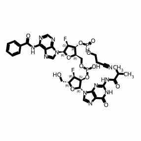 CC(C)C(=O)Nc1nc2c(ncn2[C@@H]2O[C@H](CO)[C@@H](F)[C@H]2OP(O)OC[C@H]2O[C@@H](n3cnc4c(NC(=O)c5ccccc5)ncnc43)[C@@H](F)[C@@H]2O[PH](=O)OCCC#N)c(=O)[nH]1